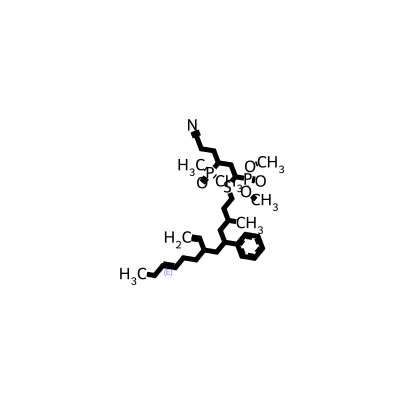 C=CC(CC/C=C/CC)CC(CC(C)CCSC(CC(CCC#N)P(C)(C)=O)P(=O)(OC)OC)c1ccccc1